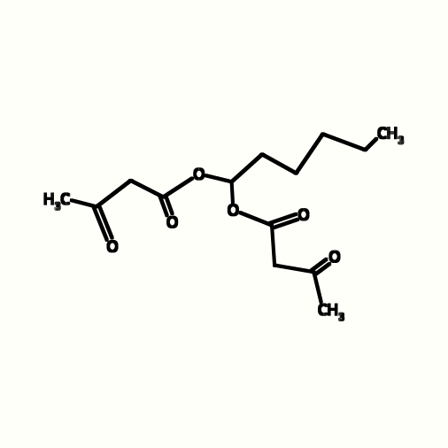 CCCCCC(OC(=O)CC(C)=O)OC(=O)CC(C)=O